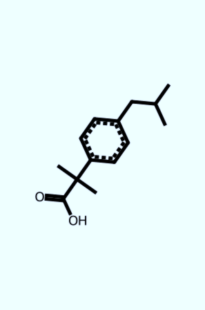 CC(C)Cc1ccc(C(C)(C)C(=O)O)cc1